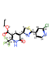 CCOC(=O)c1cc(-c2csc(-c3ccnc(Cl)c3)n2)c(=O)[nH]c1C(F)(F)F